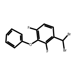 Fc1ccc(C(Br)Br)c(F)c1Oc1ccccc1